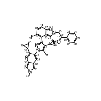 Cc1c(C2CC2)c(-c2c(F)ccc3nn(C[C@H](O)c4ccccc4)cc23)nn1-c1cc2cn(C)nc2nc1C1CC1